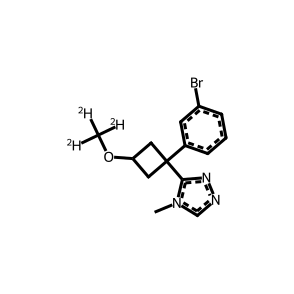 [2H]C([2H])([2H])OC1CC(c2cccc(Br)c2)(c2nncn2C)C1